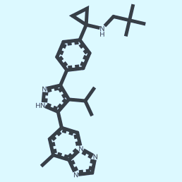 Cc1cc(-c2[nH]nc(-c3ccc(C4(NCC(C)(C)C)CC4)cc3)c2C(C)C)cn2ncnc12